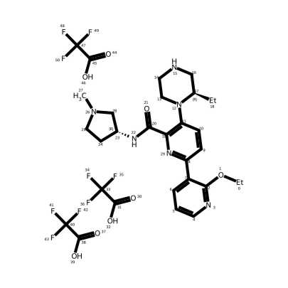 CCOc1ncccc1-c1ccc(N2CCNC[C@H]2CC)c(C(=O)N[C@@H]2CCN(C)C2)n1.O=C(O)C(F)(F)F.O=C(O)C(F)(F)F.O=C(O)C(F)(F)F